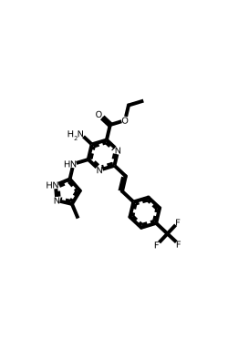 CCOC(=O)c1nc(C=Cc2ccc(C(F)(F)F)cc2)nc(Nc2cc(C)n[nH]2)c1N